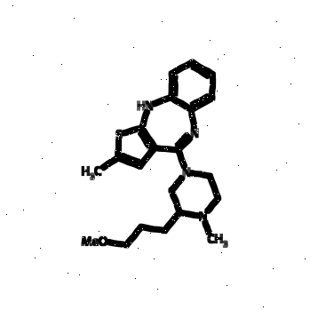 COCCCC1CN(C2=Nc3ccccc3Nc3sc(C)cc32)CCN1C